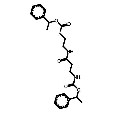 CC(OC(=O)NCCC(=O)NCCSC(=O)OC(C)c1ccccc1)c1ccccc1